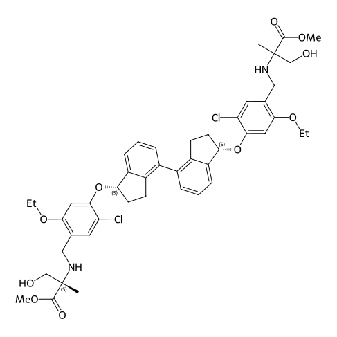 CCOc1cc(O[C@H]2CCc3c(-c4cccc5c4CC[C@@H]5Oc4cc(OCC)c(CN[C@@](C)(CO)C(=O)OC)cc4Cl)cccc32)c(Cl)cc1CNC(C)(CO)C(=O)OC